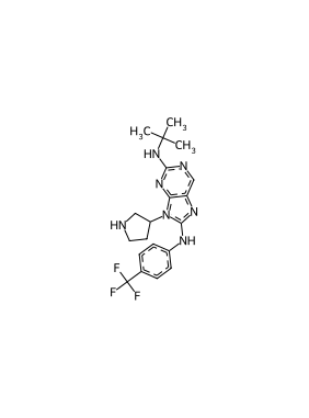 CC(C)(C)Nc1ncc2nc(Nc3ccc(C(F)(F)F)cc3)n(C3CCNC3)c2n1